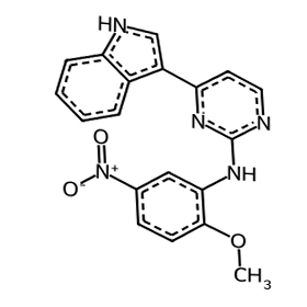 COc1ccc([N+](=O)[O-])cc1Nc1nccc(-c2c[nH]c3ccccc23)n1